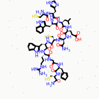 CC(C)C[C@H](NC(=O)[C@H](Cc1c[nH]c2ccccc12)NC(=O)[C@H](Cc1c[nH]cn1)NC(=O)[C@@H](N)CS)C(=O)N[C@@H](CCC(=O)O)C(=O)N[C@@H](CC(N)=O)C(=O)N[C@@H](CS)C(=O)N[C@@H](Cc1c[nH]c2ccccc12)C(=O)N[C@@H](CCCNC(=N)N)C(=O)NCC(=O)N[C@@H](Cc1ccccc1)C(=O)N[C@@H](CS)C(N)=O